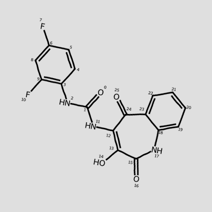 O=C(Nc1ccc(F)cc1F)Nc1c(O)c(=O)[nH]c2ccccc2c1=O